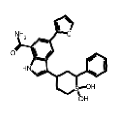 NC(=O)c1cc(-c2ccco2)cc2c(C3CCS(O)(O)C(c4ccccc4)C3)c[nH]c12